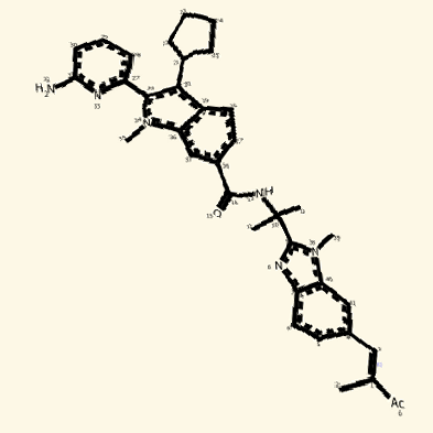 CC(=O)/C(C)=C/c1ccc2nc(C(C)(C)NC(=O)c3ccc4c(C5CCCC5)c(-c5cccc(N)n5)n(C)c4c3)n(C)c2c1